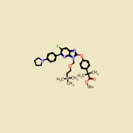 CC(C)(C)OC(=O)C(C)(C)c1ccc(Oc2nc3cc(F)c(-c4ccc(N5CCCC5)cc4)nc3n2COCC[Si](C)(C)C)cc1